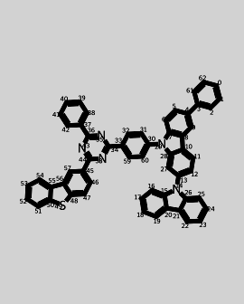 c1ccc(-c2ccc3c(c2)c2ccc(-n4c5ccccc5c5ccccc54)cc2n3-c2ccc(-c3nc(-c4ccccc4)nc(-c4ccc5sc6ccccc6c5c4)n3)cc2)cc1